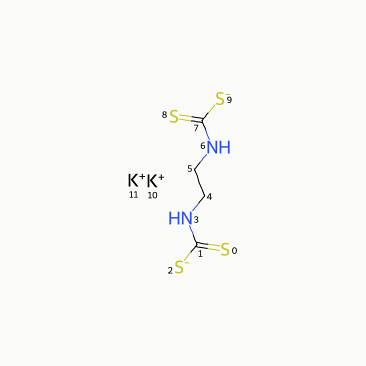 S=C([S-])NCCNC(=S)[S-].[K+].[K+]